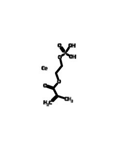 C=C(C)C(=O)OCCOP(=O)(O)O.[Ce]